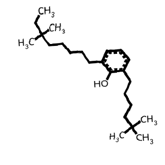 CCC(C)(C)CCCCCc1cccc(CCCCC(C)(C)C)c1O